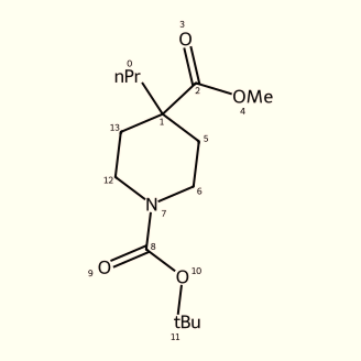 CCCC1(C(=O)OC)CCN(C(=O)OC(C)(C)C)CC1